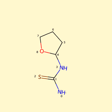 [NH]C(=S)NC1CCCO1